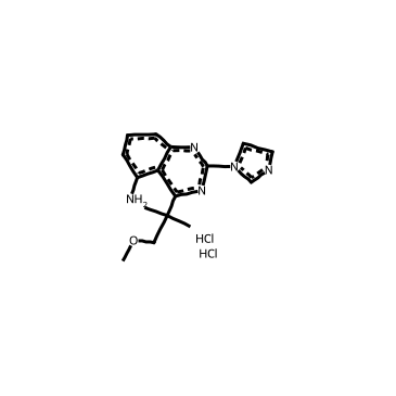 COCC(C)(C)c1nc(-n2ccnc2)nc2cccc(N)c12.Cl.Cl